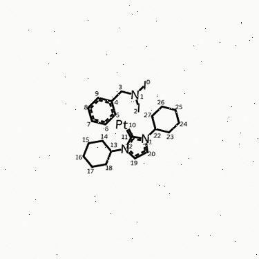 IN(I)Cc1ccccc1.[Pt]=[c]1n(C2CCCCC2)ccn1C1CCCCC1